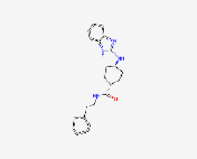 O=C(NCCc1ccccc1)[C@H]1CC[C@H](Nc2nc3ccccc3[nH]2)CC1